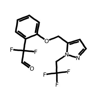 O=CC(F)(F)c1ccccc1OCc1ccnn1CC(F)(F)F